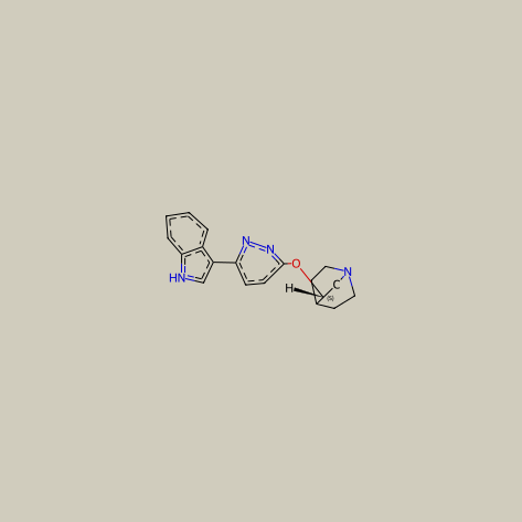 c1ccc2c(-c3ccc(O[C@@H]4CN5CCC4CC5)nn3)c[nH]c2c1